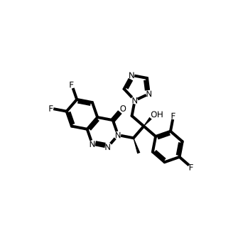 C[C@@H](n1nnc2cc(F)c(F)cc2c1=O)[C@](O)(Cn1cncn1)c1ccc(F)cc1F